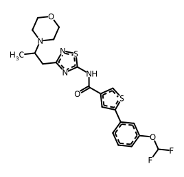 CC(Cc1nsc(NC(=O)c2csc(-c3cccc(OC(F)F)c3)c2)n1)N1CCOCC1